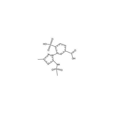 Cc1cc(NS(C)(=O)=O)n(-c2cc(S(=O)O)ccc2S(=O)(=O)O)n1